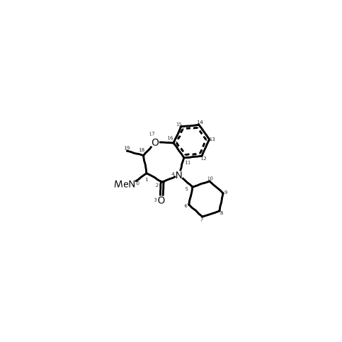 CNC1C(=O)N(C2CCCCC2)c2ccccc2OC1C